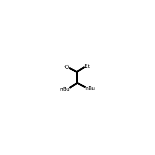 CCCCC(CCCC)C([O])CC